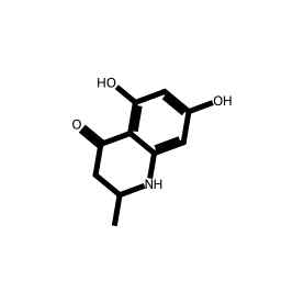 CC1CC(=O)c2c(O)cc(O)cc2N1